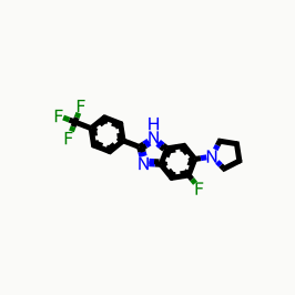 Fc1cc2nc(-c3ccc(C(F)(F)F)cc3)[nH]c2cc1N1CCCC1